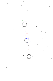 O=C(COc1ccc(Cl)cc1Cl)Oc1ccc(OC(=O)COc2ccc(Cl)cc2Cl)nn1